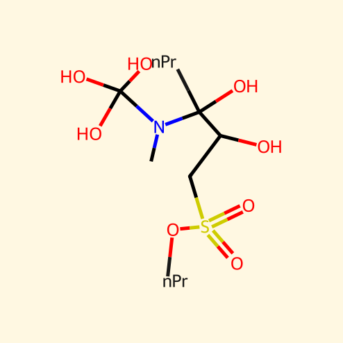 CCCOS(=O)(=O)CC(O)C(O)(CCC)N(C)C(O)(O)O